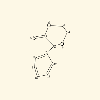 S=C1OCCOC1c1ccccc1